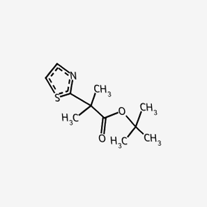 CC(C)(C)OC(=O)C(C)(C)c1nccs1